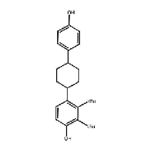 CC(C)(C)c1c(O)ccc(C2CCC(c3ccc(O)cc3)CC2)c1C(C)(C)C